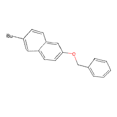 CCC(C)c1ccc2cc(OCc3ccccc3)ccc2c1